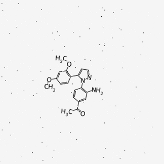 COc1ccc(-c2ccnn2-c2ccc(C(C)=O)cc2N)c(OC)c1